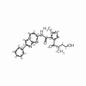 CN(CCO)C(=O)c1cnn(C)c1C(=O)Nc1ccn2cc(-c3ccccc3)nc2n1